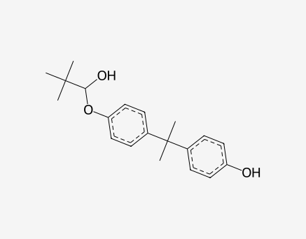 CC(C)(c1ccc(O)cc1)c1ccc(OC(O)C(C)(C)C)cc1